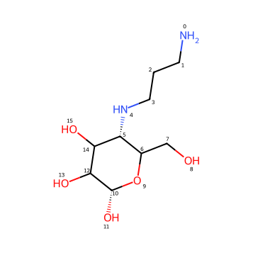 NCCCN[C@@H]1C(CO)O[C@H](O)C(O)C1O